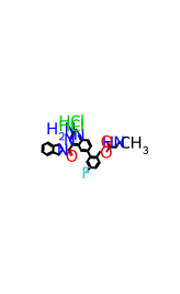 CNCC(=O)OCc1ccc(F)cc1-c1ccc2nc(N)nc(C(=O)N3Cc4ccccc4C3)c2c1.Cl.Cl